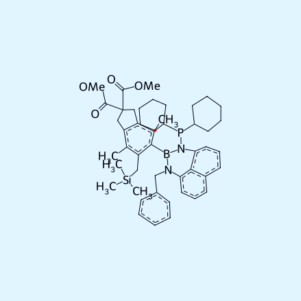 COC(=O)C1(C(=O)OC)Cc2c(C)c(C[Si](C)(C)C)c(B3N(Cc4ccccc4)c4cccc5cccc(c45)N3P(C3CCCCC3)C3CCCCC3)c(C)c2C1